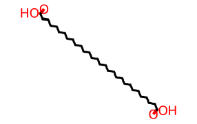 O=C(O)C=CCCCCCCCCCCCCCCCCCCCCCCCCCCC(=O)O